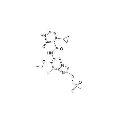 CCOc1c(NC(=O)c2c(C3CC3)cc[nH]c2=O)cn2cc(CCS(C)(=O)=O)nc2c1F